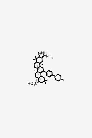 CN1CCN(c2ccc(C3=C4C5CC(C)(C)C[C@@H](C(=O)O)[C@H]5CC[C@@]4(C)[C@]4(C)CCC5C(C)(C)c6n[nH]c(N)c6C[C@]5(C)C4C3)cc2)CC1